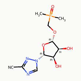 CP(C)(=O)CO[C@H]1O[C@@H](n2cnc(C#N)n2)[C@H](O)[C@@H]1O